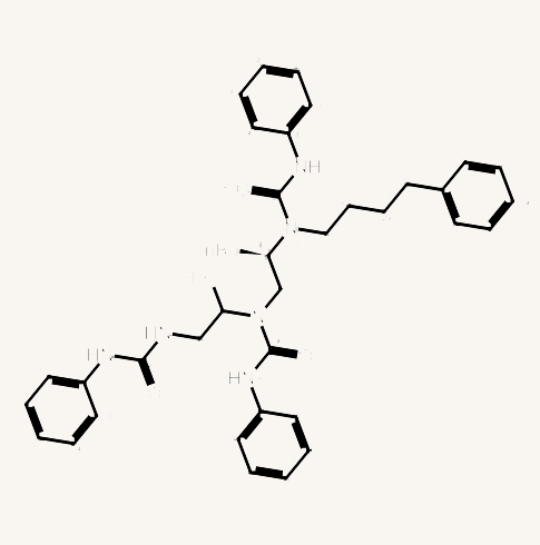 CCCC[C@H](CN(C(=O)Nc1ccccc1)C(C)CNC(=O)Nc1ccccc1)N(CCCCc1ccccc1)C(=O)Nc1ccccc1